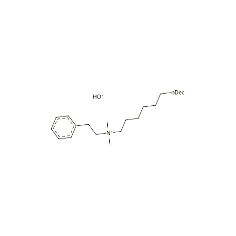 CCCCCCCCCCCCCCCC[N+](C)(C)CCc1ccccc1.[OH-]